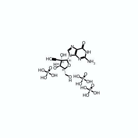 C#C[C@]1(O)[C@H](O)[C@@H](CO)O[C@H]1n1cnc2c(=O)[nH]c(N)nc21.O=P(O)(O)O.O=P(O)(O)O.O=P(O)(O)O